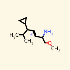 COCC(N)/C=C/C(C(C)C)C1CC1